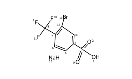 O=S(=O)(O)c1ccc(C(F)(F)F)c(Br)c1.[NaH]